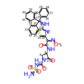 CON=C(C(=O)N[C@H]1CN(C(=O)NS(N)(=O)=O)C1=O)c1csc(NC(c2ccccc2)(c2ccccc2)c2ccccc2)n1